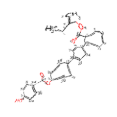 C=CC(C)OC(=O)c1ccccc1-c1ccc(-c2ccc(OC(=O)c3ccc(O)cc3)cc2)cc1